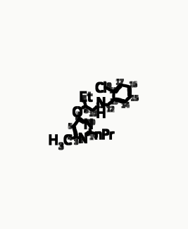 CCCc1nc(C)cc(OC(CC)CNCc2ccccc2Cl)n1